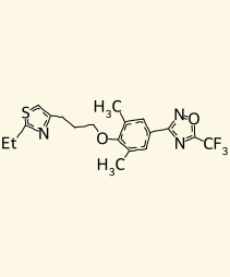 CCc1nc(CCCOc2c(C)cc(-c3noc(C(F)(F)F)n3)cc2C)cs1